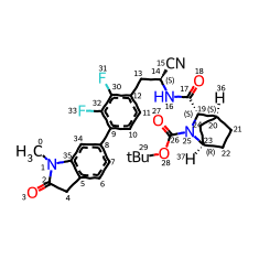 CN1C(=O)Cc2ccc(-c3ccc(C[C@@H](C#N)NC(=O)[C@@H]4[C@H]5CC[C@H](C5)N4C(=O)OC(C)(C)C)c(F)c3F)cc21